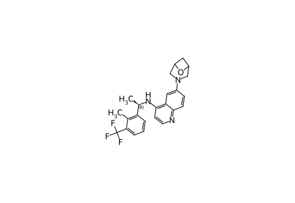 Cc1c([C@@H](C)Nc2ccnc3ccc(N4CC5CC(C4)O5)cc23)cccc1C(F)(F)F